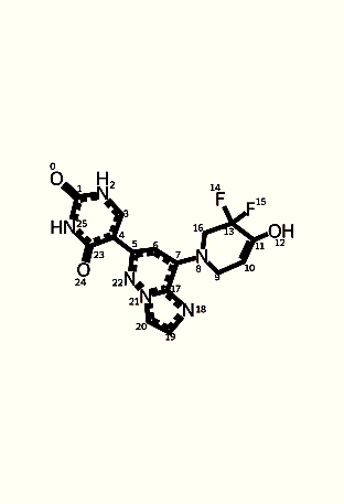 O=c1[nH]cc(-c2cc(N3CC=C(O)C(F)(F)C3)c3nccn3n2)c(=O)[nH]1